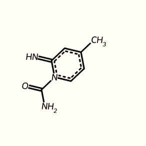 Cc1ccn(C(N)=O)c(=N)c1